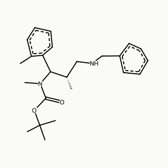 Cc1ccccc1C([C@@H](C)CNCc1ccccc1)N(C)C(=O)OC(C)(C)C